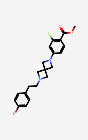 COC(=O)c1ccc(N2CC3(CN(CCc4ccc(Br)cc4)C3)C2)cc1F